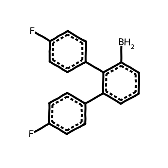 Bc1cccc(-c2ccc(F)cc2)c1-c1ccc(F)cc1